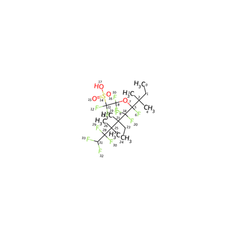 CCC(C)(C)C(F)(OC(F)(F)C(F)(F)S(=O)(=O)O)C(F)(F)C(C)(CC)C(C)(C)C(F)(F)C(F)F